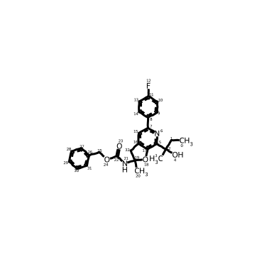 CCC(C)(O)c1nc(-c2ccc(F)cc2)cc2c1OC(C)(NC(=O)OCc1ccccc1)C2